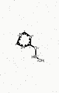 OBOc1ncncn1